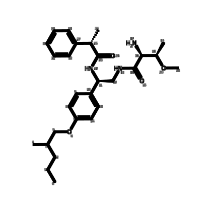 CCCC(C)COc1ccc([C@H](CNC(=O)[C@@H](N)[C@@H](C)OC)NC(=O)[C@@H](C)c2ccccc2)cc1